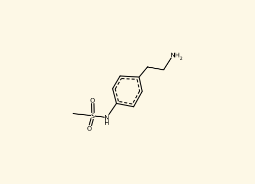 CS(=O)(=O)Nc1ccc(CCN)cc1